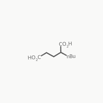 CCCCC(CCC(=O)O)C(=O)O